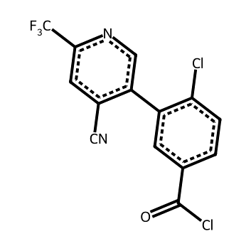 N#Cc1cc(C(F)(F)F)ncc1-c1cc(C(=O)Cl)ccc1Cl